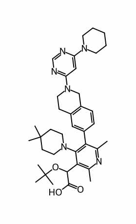 Cc1nc(C)c(C(OC(C)(C)C)C(=O)O)c(N2CCC(C)(C)CC2)c1-c1ccc2c(c1)CCN(c1cc(N3CCCCC3)ncn1)C2